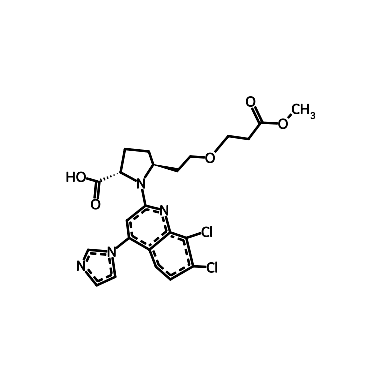 COC(=O)CCOCC[C@@H]1CC[C@@H](C(=O)O)N1c1cc(-n2ccnc2)c2ccc(Cl)c(Cl)c2n1